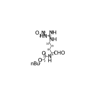 CCCCOCC(=O)NC(C=O)CCCNC(=N)N[N+](=O)[O-]